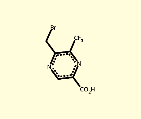 O=C(O)c1cnc(CBr)c(C(F)(F)F)n1